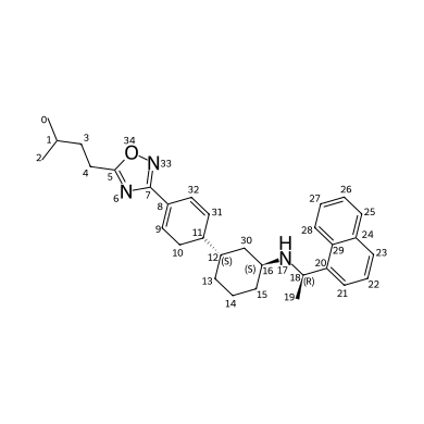 CC(C)CCc1nc(C2=CCC([C@H]3CCC[C@H](N[C@H](C)c4cccc5ccccc45)C3)C=C2)no1